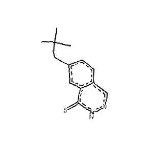 CC(C)(C)Cc1ccc2cn[nH]c(=S)c2c1